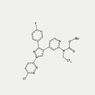 CC(C)(C)OC(=O)N(CC(F)(F)F)c1cc(-c2cn(-c3ccc(Cl)nn3)nc2-c2ccc(F)cc2)ccn1